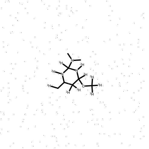 [2H]CC1N([2H])C([2H])(N(C)C)N([2H])C([2H])(OC([2H])([2H])[2H])C1([2H])[2H]